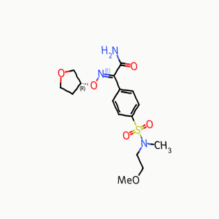 COCCN(C)S(=O)(=O)c1ccc(/C(=N\O[C@@H]2CCOC2)C(N)=O)cc1